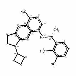 Cc1c(C#N)cccc1[C@@H](C)Nc1nnc(C)c2cc3c(cc12)N(C1CCC1)CC3